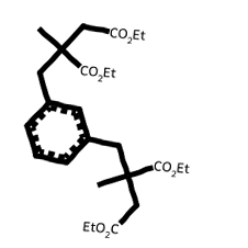 CCOC(=O)CC(C)(Cc1cccc(CC(C)(CC(=O)OCC)C(=O)OCC)c1)C(=O)OCC